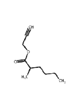 C#CCOC(=O)C(C)CCCC